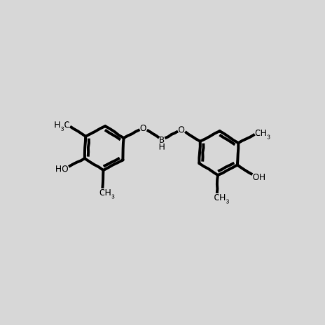 Cc1cc(OBOc2cc(C)c(O)c(C)c2)cc(C)c1O